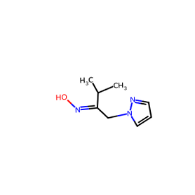 CC(C)/C(Cn1cccn1)=N\O